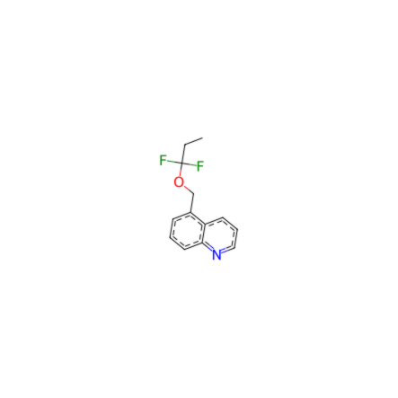 CCC(F)(F)OCc1cccc2ncccc12